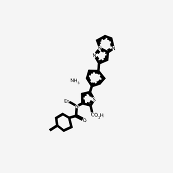 CCN(C(=O)C1CCC(C)CC1)c1cc(-c2ccc(-c3cc4ncccn4n3)cc2)sc1C(=O)O.N